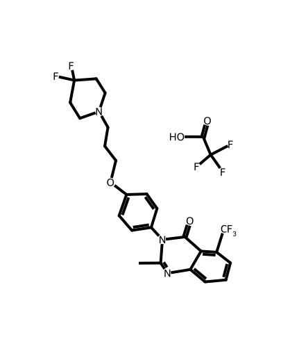 Cc1nc2cccc(C(F)(F)F)c2c(=O)n1-c1ccc(OCCCN2CCC(F)(F)CC2)cc1.O=C(O)C(F)(F)F